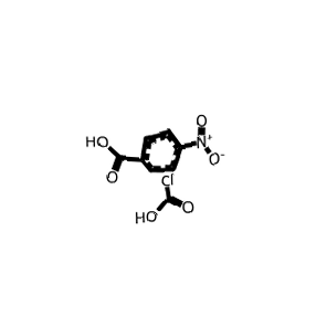 O=C(O)Cl.O=C(O)c1ccc([N+](=O)[O-])cc1